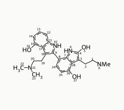 CNCCc1c(O)[nH]c2c(-c3[nH]c4cccc(O)c4c3CCN(C)C)ccc(O)c12